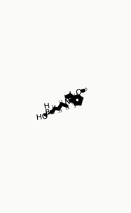 COc1cccc2c1ccn2CCCCCBO